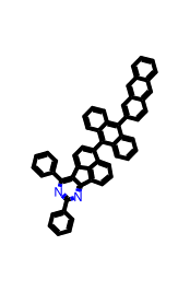 c1ccc(-c2nc(-c3ccccc3)c3c(n2)-c2cccc4c(-c5c6ccccc6c(-c6ccc7cc8ccccc8cc7c6)c6ccccc56)ccc-3c24)cc1